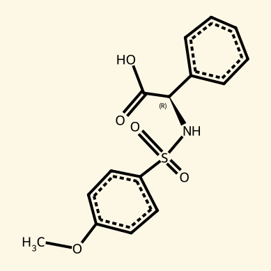 COc1ccc(S(=O)(=O)N[C@@H](C(=O)O)c2ccccc2)cc1